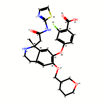 C[C@]1(CC(=O)Nc2nccs2)NCCc2cc(OCC3CCCOC3)c(Oc3ccc(C(=O)O)c(F)c3)cc21